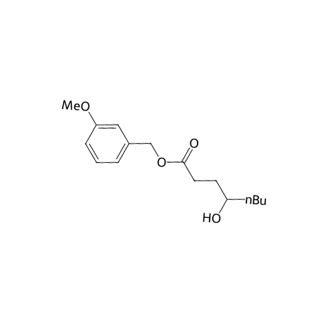 CCCCC(O)CCC(=O)OCc1cccc(OC)c1